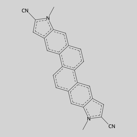 [C-]#[N+]c1cc2cc3c(ccc4c5cc6cc(C#N)n(C)c6cc5ccc34)cc2n1C